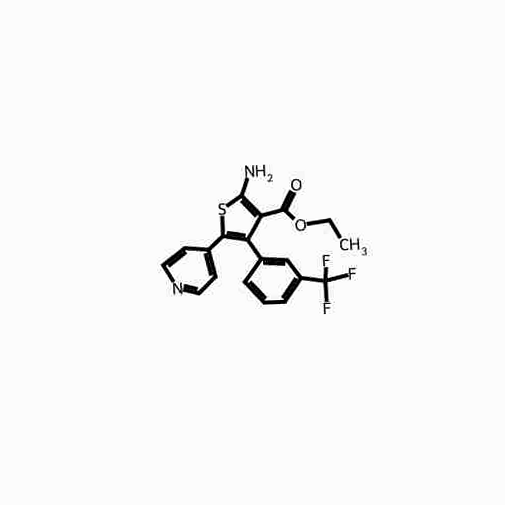 CCOC(=O)c1c(N)sc(-c2ccncc2)c1-c1cccc(C(F)(F)F)c1